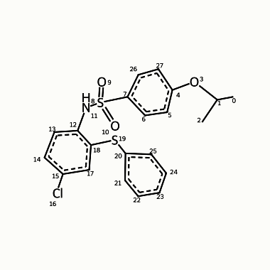 CC(C)Oc1ccc(S(=O)(=O)Nc2ccc(Cl)cc2Sc2ccccc2)cc1